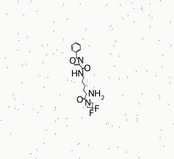 N[C@@H](CCCCNC(=O)c1coc(-c2ccccc2)n1)C(=O)N1CC(F)(F)C1